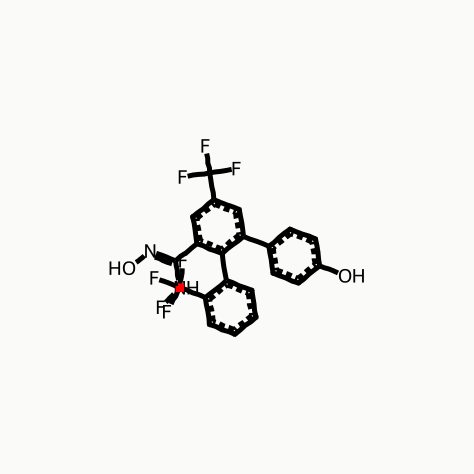 ON=C(NF)c1cc(C(F)(F)F)cc(-c2ccc(O)cc2)c1-c1ccccc1C(F)(F)F